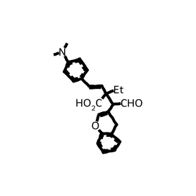 CCC(C=Cc1ccc(N(C)C)cc1)(C(=O)O)C(C=O)C1=COc2ccccc2C1